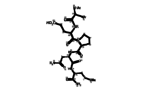 CSSC[C@H](NC(=O)[C@@H](CC(N)=O)NC(=O)C1CCCN1C(=O)C(CCC(=O)O)NC(=O)C(NC(C)=O)C(C)C)C(N)=O